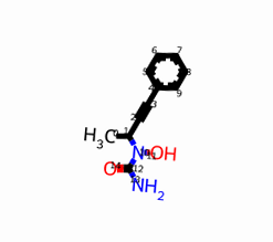 CC(C#Cc1ccccc1)N(O)C(N)=O